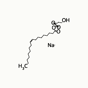 CCCCCCCC/C=C\CCCCCCCC(=O)OS(=O)(=O)CCO.[Na]